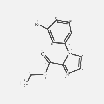 CCOC(=O)c1nccn1-c1cccc(Br)c1